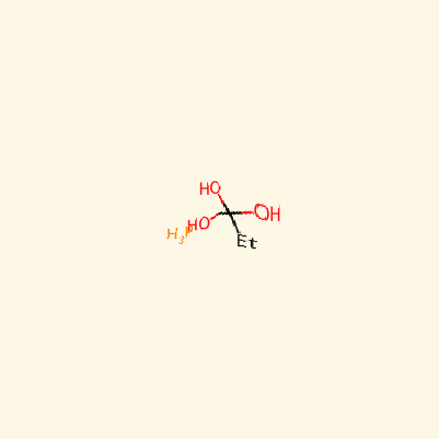 CCC(O)(O)O.P